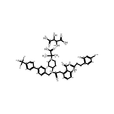 CC(C)(C(=O)O)N1CCC(N(Cc2ccc(-c3ccc(C(F)(F)F)cc3)cc2)C(=O)Cc2cccc3[nH]c(CCc4ccc(F)cc4F)nc(=O)c23)CC1.O=C(O)C(O)C(O)C(=O)O